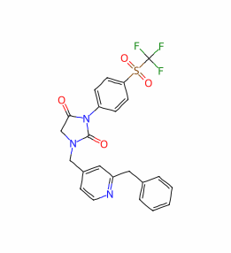 O=C1CN(Cc2ccnc(Cc3ccccc3)c2)C(=O)N1c1ccc(S(=O)(=O)C(F)(F)F)cc1